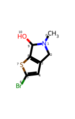 CN1Cc2cc(Br)sc2C1O